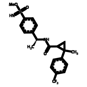 COS(=N)(=O)c1ccc([C@@H](C)NC(=O)C2CC2(C)c2ccc(C(F)(F)F)cc2)cc1